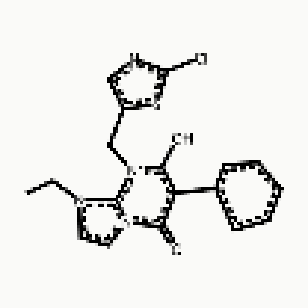 CCn1ccn2c(=O)c(-c3ccccc3)c(O)[n+](Cc3cnc(Cl)s3)c12